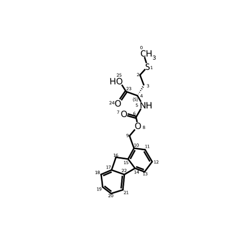 CSCC[C@H](NC(=O)OCc1cccc2c1Cc1ccccc1-2)C(=O)O